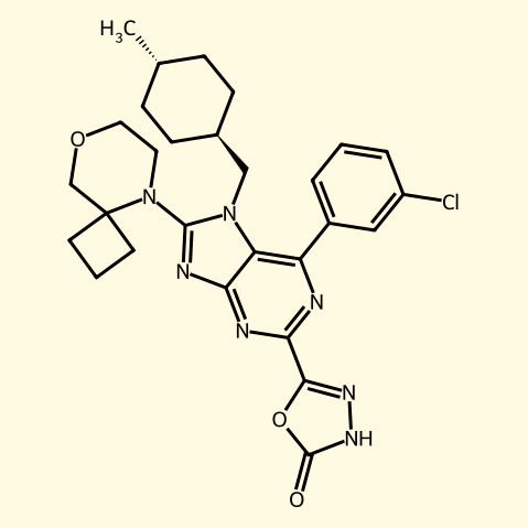 C[C@H]1CC[C@H](Cn2c(N3CCOCC34CCC4)nc3nc(-c4n[nH]c(=O)o4)nc(-c4cccc(Cl)c4)c32)CC1